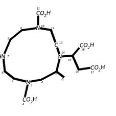 CC1CN(C(=O)O)CCNCCN(C(=O)O)CCN1C(CC(=O)O)C(=O)O